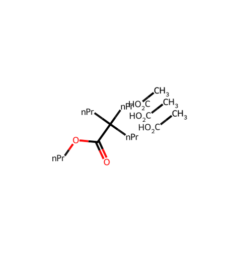 CC(=O)O.CC(=O)O.CC(=O)O.CCCOC(=O)C(CCC)(CCC)CCC